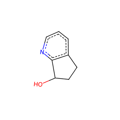 OC1CCc2cccnc21